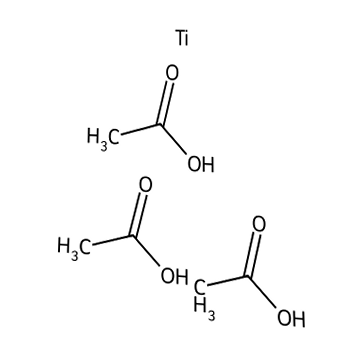 CC(=O)O.CC(=O)O.CC(=O)O.[Ti]